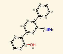 N#Cc1cc(-c2ccccc2O)ccc1-c1ccccc1